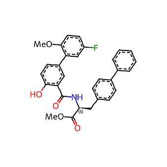 COC(=O)[C@H](Cc1ccc(-c2ccccc2)cc1)NC(=O)c1cc(-c2cc(F)ccc2OC)ccc1O